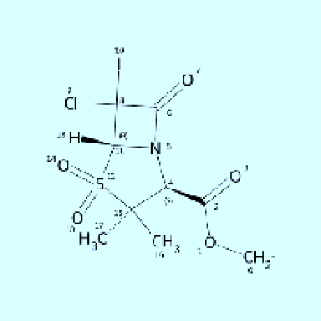 [CH2]OC(=O)[C@@H]1N2C(=O)C(Cl)(I)[C@H]2S(=O)(=O)C1(C)C